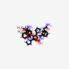 CC(C)(C)c1ccc(C2C(C3CCCN3[C@@]3(C(=O)NC(=O)O)c4ccc(cc4)C3(C)CC(N)=O)CCC2C2CCCN2[C@@]2(C(=O)NC(=O)O)c3ccc(cc3)C2(C)CC(N)=O)cc1